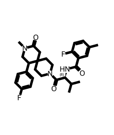 Cc1ccc(F)c(C(=O)N[C@@H](C(=O)N2CCC3(CC2)CC(=O)N(C)CC3c2ccc(F)cc2)C(C)C)c1